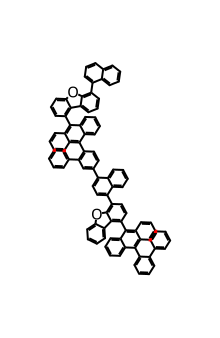 c1ccc(-c2cc(-c3ccc(-c4ccc(-c5c6ccccc6c(-c6ccccc6-c6ccccc6)c6ccccc56)c5c4oc4ccccc45)c4ccccc34)ccc2-c2c3ccccc3c(-c3cccc4oc5c(-c6cccc7ccccc67)cccc5c34)c3ccccc23)cc1